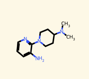 CN(C)C1CCN(c2ncccc2N)CC1